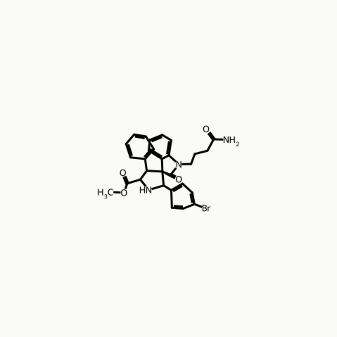 COC(=O)C1NC(c2ccc(Br)cc2)C2(C(=O)N(CCCC(N)=O)c3ccccc32)C1c1ccccc1